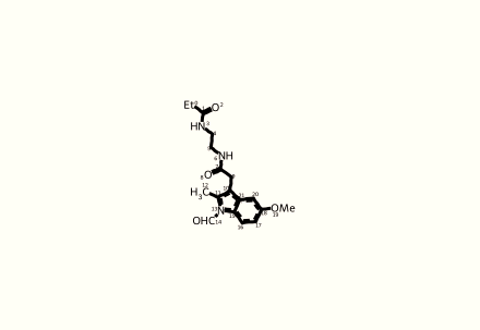 CCC(=O)NCCNC(=O)Cc1c(C)n(C=O)c2ccc(OC)cc12